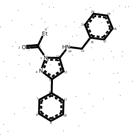 CCC(=O)n1nc(-c2ccccc2)cc1NCc1ccccc1